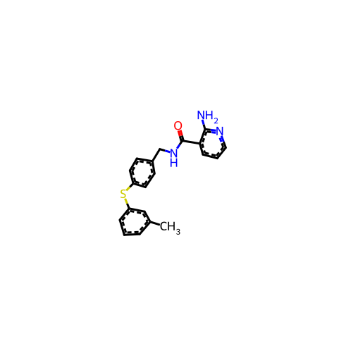 Cc1cccc(Sc2ccc(CNC(=O)c3cccnc3N)cc2)c1